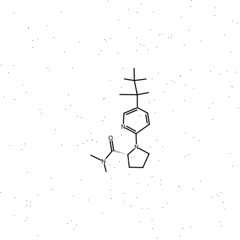 CN(C)C(=O)[C@H]1CCCN1c1ccc(C(C)(C)C(C)(C)C)cn1